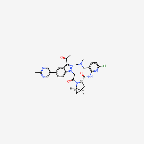 CC(=O)c1nn(CC(=O)N2[C@H](C(=O)Nc3nc(Cl)ccc3CN(C)C)C[C@@]3(C)C[C@@H]23)c2ccc(-c3cnc(C)nc3)cc12